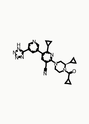 N#Cc1cc(-c2cncc(-c3nnn[nH]3)c2)c(C2CC2)nc1N1CCN(C(=O)C2CC2)[C@H](C2CC2)C1